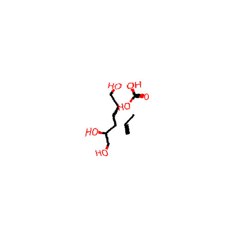 C=CC.O=C(O)O.OCCCCC(O)CO